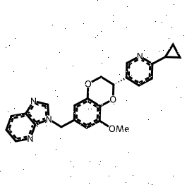 COc1cc(Cn2cnc3cccnc32)cc2c1O[C@@H](c1ccc(C3CC3)nc1)CO2